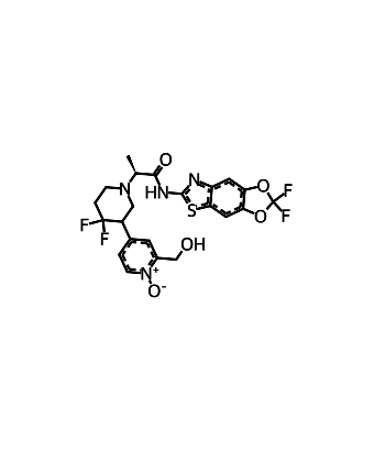 C[C@@H](C(=O)Nc1nc2cc3c(cc2s1)OC(F)(F)O3)N1CCC(F)(F)C(c2cc[n+]([O-])c(CO)c2)C1